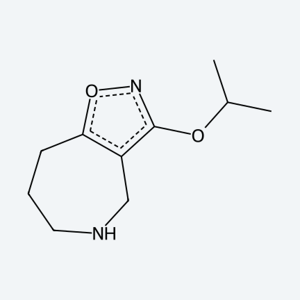 CC(C)Oc1noc2c1CNCCC2